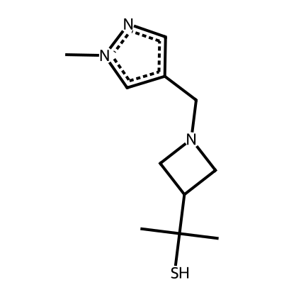 Cn1cc(CN2CC(C(C)(C)S)C2)cn1